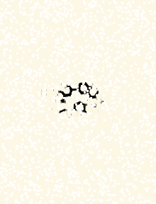 CC1N=C(N(C)CCO)C=CC1n1c(=O)n(C)c2cnc3ccc(-c4cnc(N)c(C(F)(F)F)c4)cc3c21